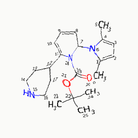 Cc1ccc(C)n1C1C=CC=C(C2CCNCC2)N1C(=O)OC(C)(C)C